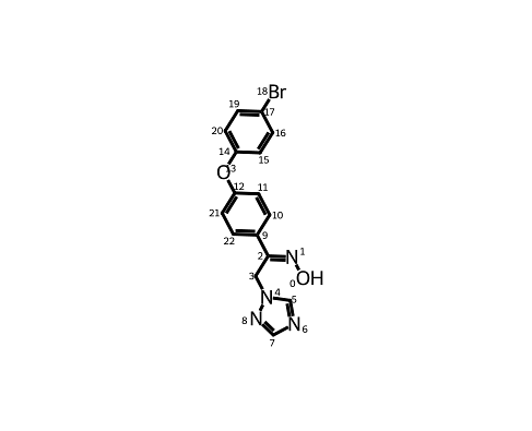 ON=C(Cn1cncn1)c1ccc(Oc2ccc(Br)cc2)cc1